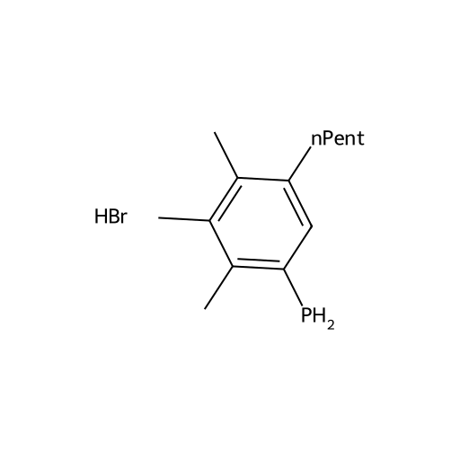 Br.CCCCCc1cc(P)c(C)c(C)c1C